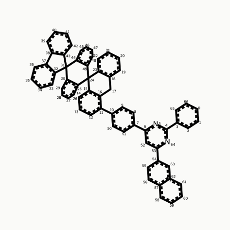 c1ccc(-c2nc(-c3ccc(-c4cccc5c4Cc4ccccc4C54c5ccccc5C5(c6ccccc6-c6ccccc65)c5ccccc54)cc3)cc(-c3ccc4ccccc4c3)n2)cc1